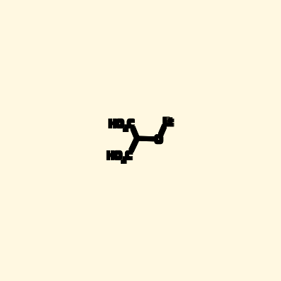 CCOC(C(=O)O)C(=O)O